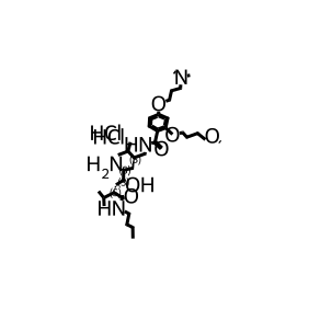 CCCCNC(=O)[C@@H](C[C@H](O)[C@@H](N)C[C@H](CNC(=O)c1ccc(OCCCN(C)C)cc1OCCCCOC)C(C)C)C(C)C.Cl.Cl